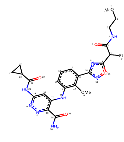 CCC(C(=O)NCCOC)c1nc(-c2cccc(Nc3cc(NC(=O)C4CC4)nnc3C(N)=O)c2OC)no1